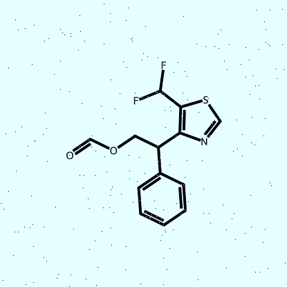 O=COCC(c1ccccc1)c1ncsc1C(F)F